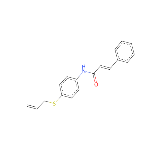 C=CCSc1ccc(NC(=O)C=Cc2ccccc2)cc1